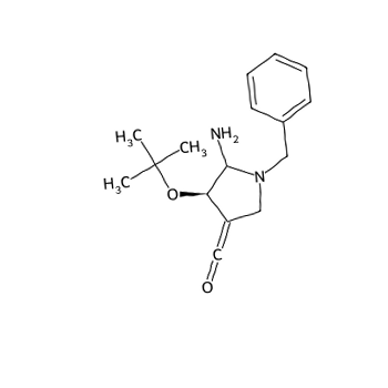 CC(C)(C)O[C@@H]1C(=C=O)CN(Cc2ccccc2)C1N